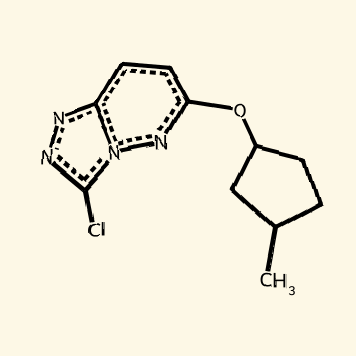 CC1CCC(Oc2ccc3nnc(Cl)n3n2)C1